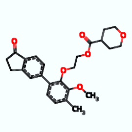 COc1c(C)ccc(-c2ccc3c(c2)CCC3=O)c1OCCOC(=O)C1CCOCC1